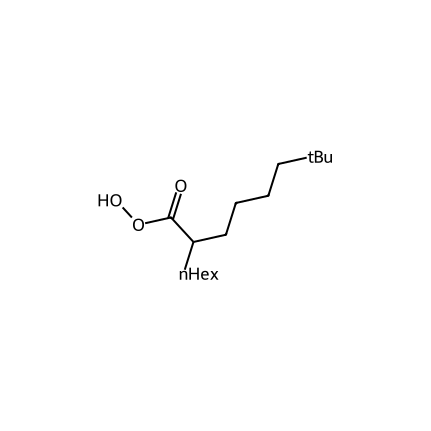 CCCCCCC(CCCCC(C)(C)C)C(=O)OO